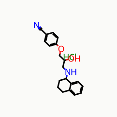 Cl.N#Cc1ccc(OCC(O)CNC2CCCc3ccccc32)cc1